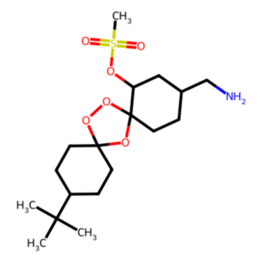 CC(C)(C)C1CCC2(CC1)OOC1(CCC(CN)CC1OS(C)(=O)=O)O2